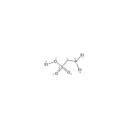 CCOS(=O)(=O)CP(CC)CC